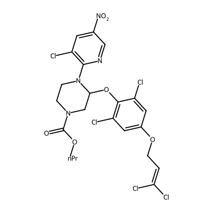 CCCOC(=O)N1CCN(c2ncc([N+](=O)[O-])cc2Cl)C(Oc2c(Cl)cc(OCC=C(Cl)Cl)cc2Cl)C1